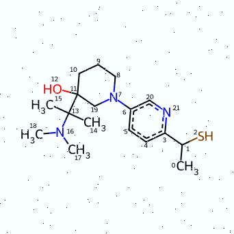 CC(S)c1ccc(N2CCCC(O)(C(C)(C)N(C)C)C2)cn1